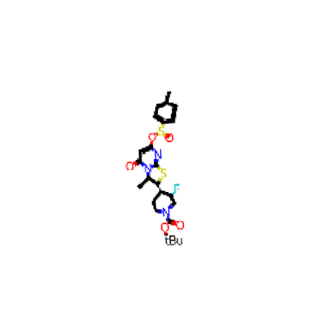 Cc1ccc(S(=O)Oc2cc(=O)n3c(n2)SC([C@H]2CCN(C(=O)OC(C)(C)C)C[C@@H]2F)C3C)cc1